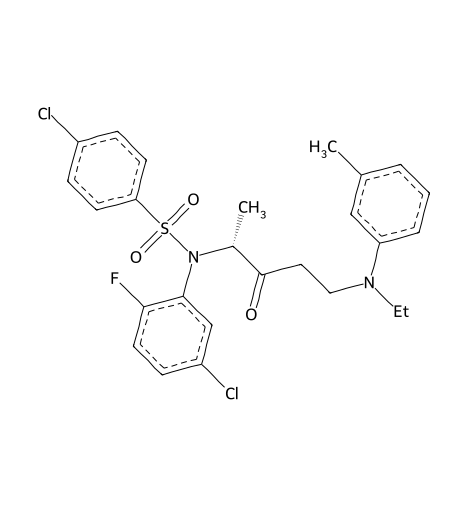 CCN(CCC(=O)[C@@H](C)N(c1cc(Cl)ccc1F)S(=O)(=O)c1ccc(Cl)cc1)c1cccc(C)c1